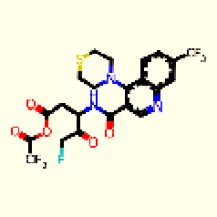 O=C(CC(NC(=O)c1cnc2cc(C(F)(F)F)ccc2c1N1CCSCC1)C(=O)CF)OC(=O)C(F)(F)F